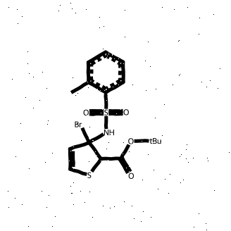 Cc1ccccc1S(=O)(=O)NC1(Br)C=CSC1C(=O)OC(C)(C)C